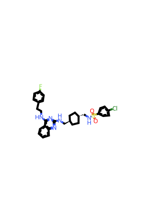 O=S(=O)(NC[C@H]1CC[C@H](CNc2nc(NCCc3ccc(F)cc3)c3ccccc3n2)CC1)c1ccc(Cl)cc1